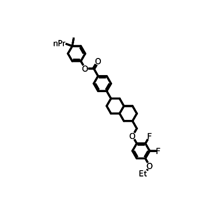 CCCC1(C)C=CC(OC(=O)c2ccc(C3CCC4CC(COc5ccc(OCC)c(F)c5F)CCC4C3)cc2)=CC1